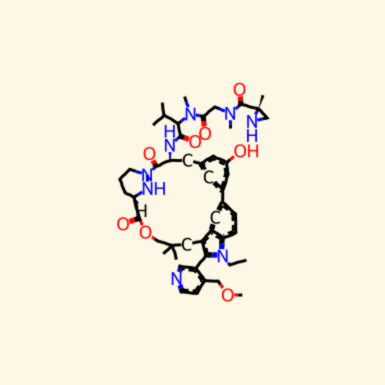 CCn1c(-c2cnccc2COC)c2c3cc(ccc31)-c1cc(O)cc(c1)C[C@H](NC(=O)C(C(C)C)N(C)C(=O)CN(C)C(=O)[C@]1(C)CN1)C(=O)N1CCC[C@H](N1)C(=O)OCC(C)(C)C2